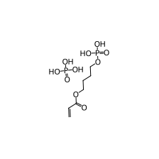 C=CC(=O)OCCCCOP(=O)(O)O.O=P(O)(O)O